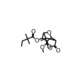 CCC(C)(C)C(=O)OC1C2OC(=O)C3C2OC1C3(C)C(=O)OC